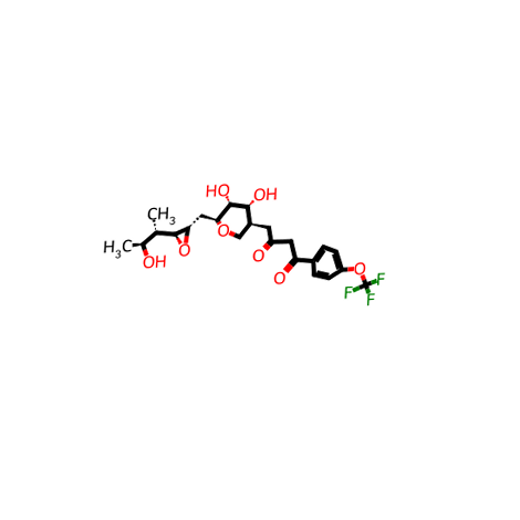 C[C@H]([C@@H]1O[C@H]1C[C@@H]1OC[C@H](CC(=O)CC(=O)c2ccc(OC(F)(F)F)cc2)[C@@H](O)[C@H]1O)[C@H](C)O